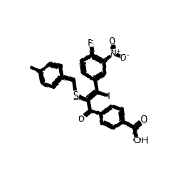 Cc1ccc(CSC(C(=O)c2ccc(C(=O)O)cc2)=C(I)c2ccc(F)c([N+](=O)[O-])c2)cc1